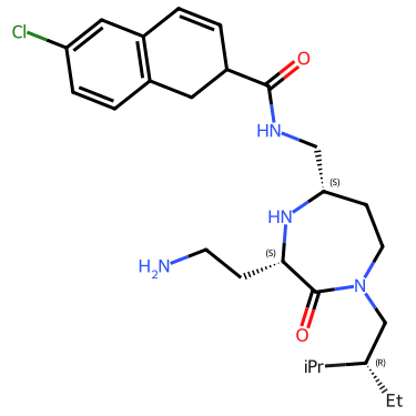 CC[C@@H](CN1CC[C@@H](CNC(=O)C2C=Cc3cc(Cl)ccc3C2)N[C@@H](CCN)C1=O)C(C)C